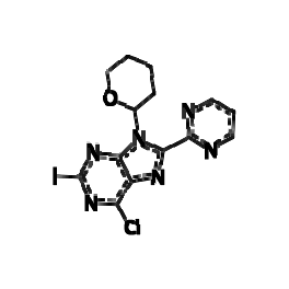 Clc1nc(I)nc2c1nc(-c1ncccn1)n2C1CCCCO1